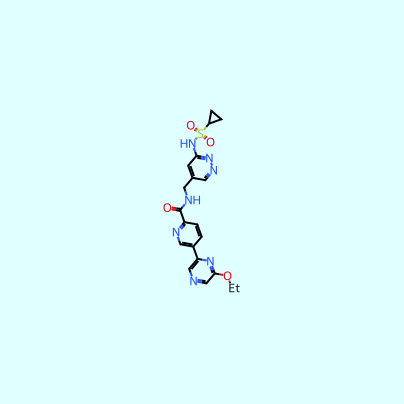 CCOc1cncc(-c2ccc(C(=O)NCc3cnnc(NS(=O)(=O)C4CC4)c3)nc2)n1